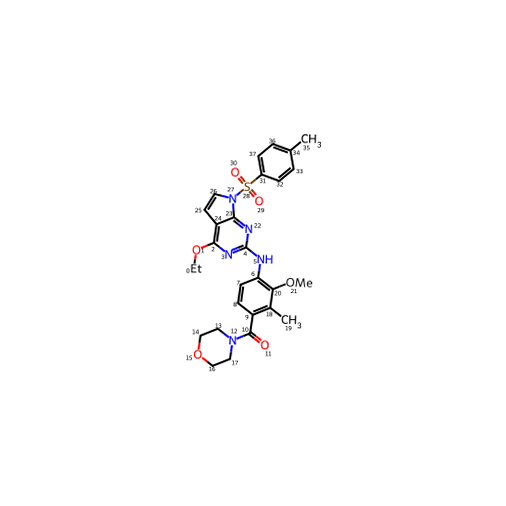 CCOc1nc(Nc2ccc(C(=O)N3CCOCC3)c(C)c2OC)nc2c1ccn2S(=O)(=O)c1ccc(C)cc1